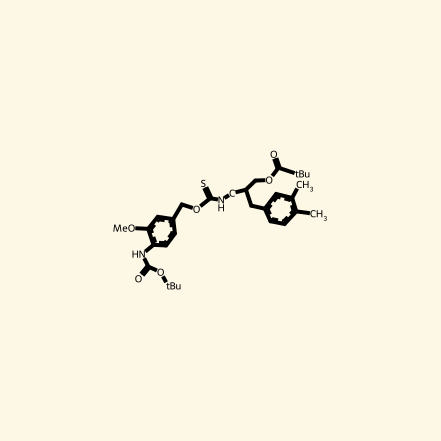 COc1cc(COC(=S)NCC(COC(=O)C(C)(C)C)Cc2ccc(C)c(C)c2)ccc1NC(=O)OC(C)(C)C